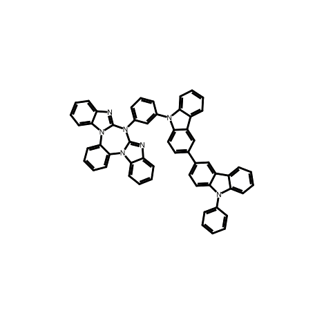 c1ccc(-n2c3ccccc3c3cc(-c4ccc5c(c4)c4ccccc4n5-c4cccc(-n5c6nc7ccccc7n6c6ccccc6n6c7ccccc7nc56)c4)ccc32)cc1